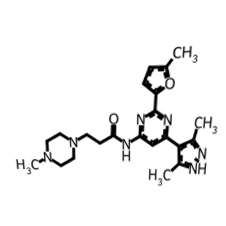 Cc1ccc(-c2nc(NC(=O)CCN3CCN(C)CC3)cc(-c3c(C)n[nH]c3C)n2)o1